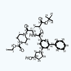 CCOC(=O)N1CCN(C(=O)[C@H](CCC(=O)OC(C)(C)C)NC(=O)c2cc(N3CC[C@@H](O)C3)cc(-c3ccccc3)n2)CC1